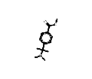 COC(=O)c1ccc([C](C)(C)[Bi]([CH3])[CH3])cc1